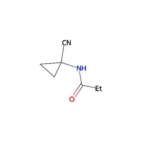 CCC(=O)NC1(C#N)CC1